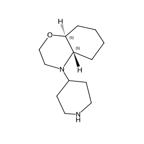 C1CC[C@H]2[C@H](C1)OCCN2C1CCNCC1